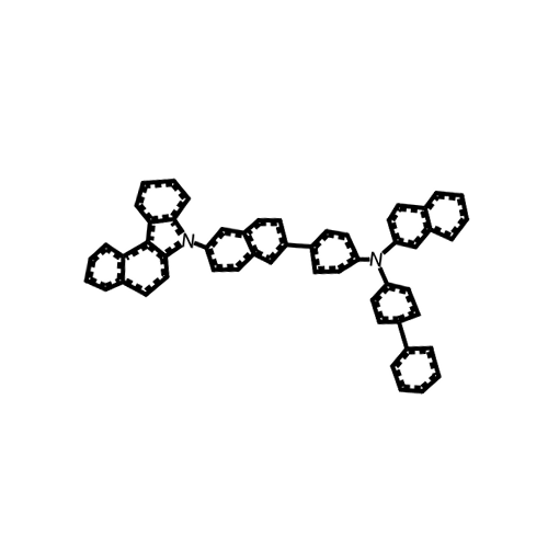 c1ccc(-c2ccc(N(c3ccc(-c4ccc5cc(-n6c7ccccc7c7c8ccccc8ccc76)ccc5c4)cc3)c3ccc4ccccc4c3)cc2)cc1